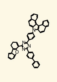 C1=C(c2nc(-c3ccc(-c4ccccc4)cc3)nc(-c3ccc(-n4c5ccc6ccccc6c5c5c6ccccc6ccc54)cc3)n2)c2oc3ccccc3c2CC1